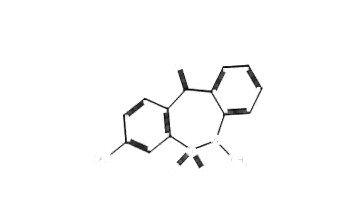 CN1c2ccccc2C(=O)c2ccc(O)cc2S1(=O)=O